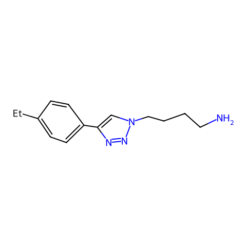 CCc1ccc(-c2cn(CCCCN)nn2)cc1